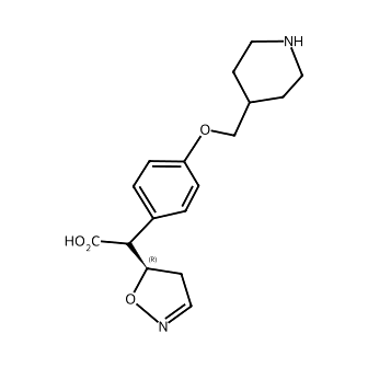 O=C(O)C(c1ccc(OCC2CCNCC2)cc1)[C@H]1CC=NO1